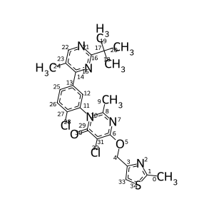 Cc1nc(COc2nc(C)n(-c3cc(-c4nc(C(C)(C)C)ncc4C)ccc3Cl)c(=O)c2Cl)cs1